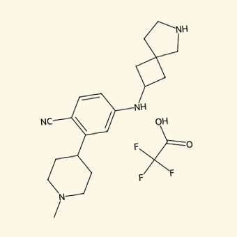 CN1CCC(c2cc(NC3CC4(CCNC4)C3)ccc2C#N)CC1.O=C(O)C(F)(F)F